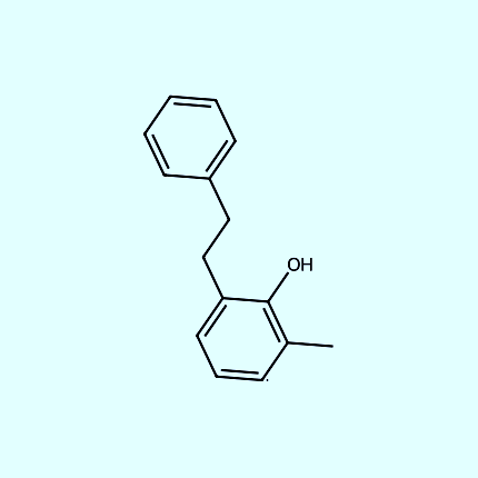 Cc1[c]ccc(CCc2ccccc2)c1O